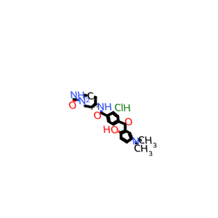 CN(C)c1ccc(O)c(C(=O)c2ccc(C(=O)N[C@@H]3[CH]CN(C(N)=O)CCC3)cc2)c1.Cl